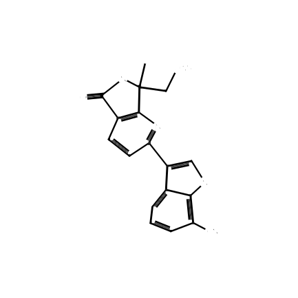 COCC1(C)NC(=O)c2ccc(-c3c[nH]c4c(C#N)cccc34)nc21